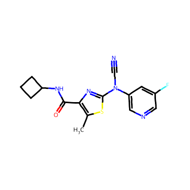 Cc1sc(N(C#N)c2cncc(F)c2)nc1C(=O)NC1CCC1